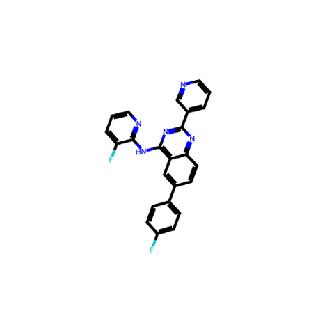 Fc1ccc(-c2ccc3nc(-c4cccnc4)nc(Nc4ncccc4F)c3c2)cc1